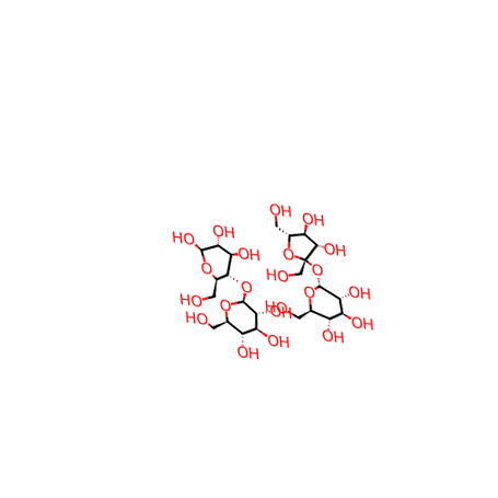 OC[C@H]1O[C@@H](O[C@H]2[C@H](O)[C@@H](O)[C@H](O)O[C@@H]2CO)[C@H](O)[C@@H](O)[C@@H]1O.OC[C@H]1O[C@@](CO)(O[C@H]2O[C@H](CO)[C@@H](O)[C@H](O)[C@H]2O)[C@@H](O)[C@@H]1O